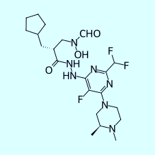 C[C@H]1CN(c2nc(C(F)F)nc(NNC(=O)[C@H](CC3CCCC3)CN(O)C=O)c2F)CCN1C